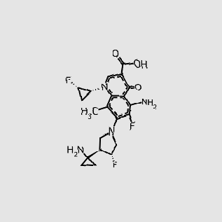 Cc1c(N2C[C@H](F)[C@@H](C3(N)CC3)C2)c(F)c(N)c2c(=O)c(C(=O)O)cn([C@@H]3C[C@@H]3F)c12